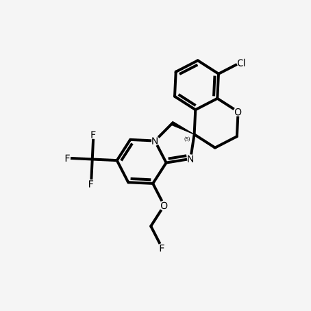 FCOC1=CC(C(F)(F)F)=CN2C[C@@]3(CCOc4c(Cl)cccc43)N=C12